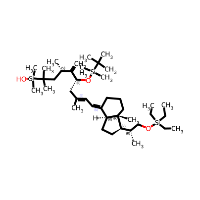 C=C([C@@H](C)CC(C)(C)[Si](C)(C)O)[C@@H](C/C(C)=C/C=C1\CCC[C@]2(C)[C@@H]([C@@H](C)CO[Si](CC)(CC)CC)CC[C@@H]12)O[Si](C)(C)C(C)(C)C